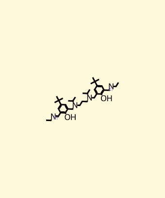 CC/N=C/c1cc(C(C)(C)C)cc(CN(CCCN(Cc2cc(C(C)(C)C)cc(/C=N/CC)c2O)C(C)C)C(C)C)c1O